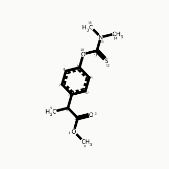 COC(=O)C(C)c1ccc(OC(=S)N(C)C)cc1